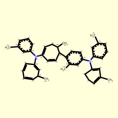 CC1=CCCC(N(c2cccc(C)c2)c2ccc(C3C=CC(N(C4=CC(C)C=CC=C4)c4cccc(C)c4)=CCC3C)c(C)c2)=C1